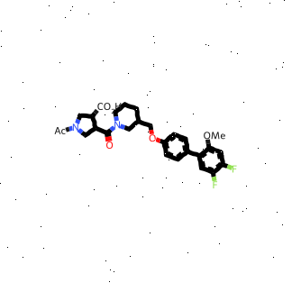 COc1cc(F)c(F)cc1-c1ccc(OCC2CCCN(C(=O)C3CN(C(C)=O)CC3C(=O)O)C2)cc1